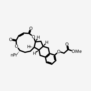 CCC[C@H]1CC[C@@H]2[C@H]3Cc4cccc(OCC(=O)OC)c4C[C@H]3C[C@H]2OC(=O)/C=C\C(=O)O1